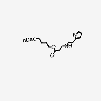 CCCCCCCCCCCCCCOC(=O)CCNCCC1=CCC=N1